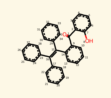 O=C(c1ccccc1O)c1ccccc1C(=C(c1ccccc1)c1ccccc1)c1ccccc1